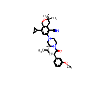 COc1cccc(CC(=O)N2CCN(c3cc(C4CC4)c4c(c3C#N)CC(C)(C)OC4)C[C@H]2C(C)C)c1